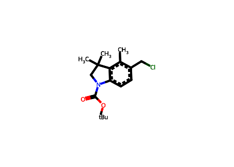 Cc1c(CCl)ccc2c1C(C)(C)CN2C(=O)OC(C)(C)C